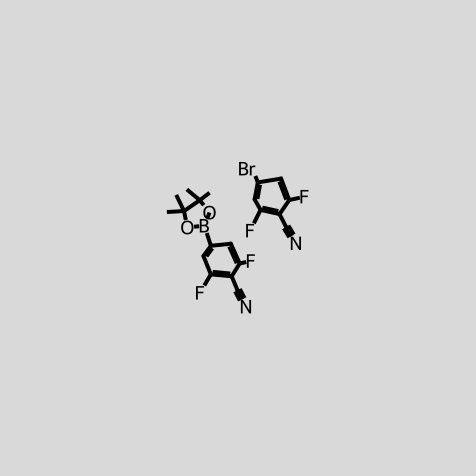 CC1(C)OB(c2cc(F)c(C#N)c(F)c2)OC1(C)C.N#Cc1c(F)cc(Br)cc1F